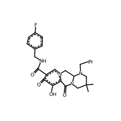 CC(C)CN1CC(C)(C)CN2C(=O)c3c(O)c(=O)c(C(=O)NCc4ccc(F)cc4)cn3CC12